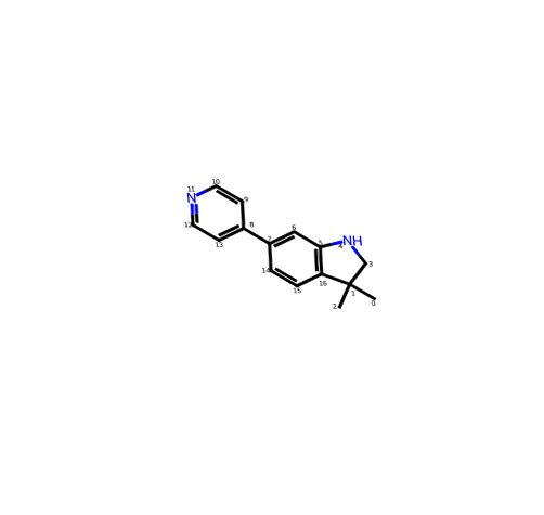 CC1(C)CNc2cc(-c3ccncc3)ccc21